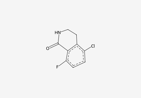 O=C1NCCc2c(Cl)ccc(F)c21